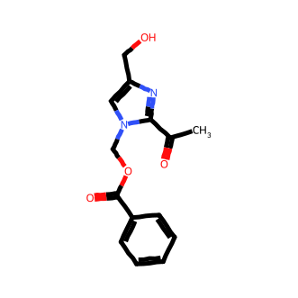 CC(=O)c1nc(CO)cn1COC(=O)c1ccccc1